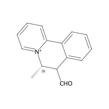 C[C@H]1C(C=O)c2ccccc2-c2cccc[n+]21